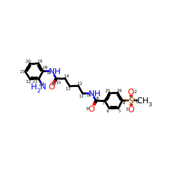 CS(=O)(=O)c1ccc(C(=O)NCCCCC(=O)Nc2ccccc2N)cc1